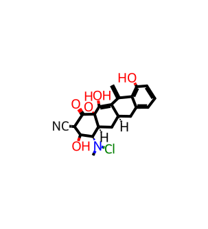 C=C1C2=C(O)[C@]3(O)C(=O)C(C#N)C(O)[C@@H](N(C)Cl)[C@@H]3C[C@@H]2Cc2cccc(O)c21